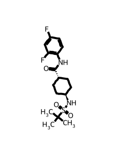 CC(C)(C)S(=O)(=O)N[C@H]1CC[C@H](C(=O)Nc2ccc(F)cc2F)CC1